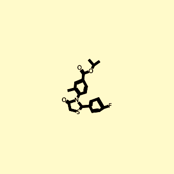 Cc1cc(C(=O)OC(C)C)ccc1N1C(=O)CSC1c1ccc(F)cc1